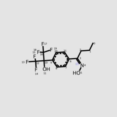 CCC/C(=N/O)c1ccc(C(O)(C(F)(F)F)C(F)(F)F)cc1